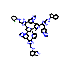 Cc1cccc(-c2nc(CNc3cccc4c3CNC4)[nH]c2-c2cc(-c3cc(C)nc(-c4nc(CNC5CCCCC5F)[nH]c4-c4cc(-c5cc(C)nc(-c6nc(CNC7CCc8ccccc87)[nH]c6-c6ccn7ncnc7c6)c5)n5ncnc5c4)c3)n3ncnc3c2)n1